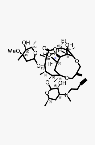 C#CCCN(C)[C@H]1C[C@@H](C)OC(O[C@@H]2[C@@H](C)[C@H](OC3C[C@@](C)(OC)[C@@H](O)[C@H](C)O3)[C@@H](C)C(=O)O[C@H](CC)[C@@](C)(O)C3OCC(=C)CO[C@]2(C)C[C@@H](C)/C(=N\O)[C@@H]3C)[C@@H]1O